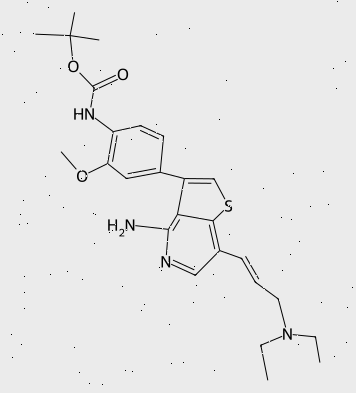 CCN(CC)CC=Cc1cnc(N)c2c(-c3ccc(NC(=O)OC(C)(C)C)c(OC)c3)csc12